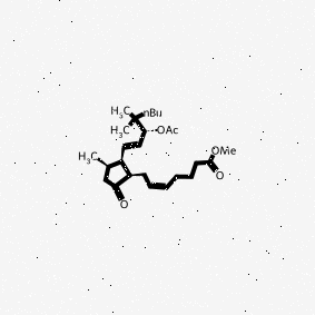 CCCCC(C)(C)[C@@H](/C=C/[C@@H]1[C@H](C)CC(=O)[C@@H]1C/C=C\CCCC(=O)OC)OC(C)=O